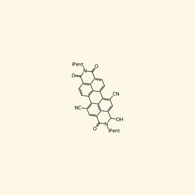 CCCC(C)N1C(=O)c2ccc3c4c(C#N)cc5c6c(cc(C#N)c(c7ccc(c2c37)C1=O)c64)C(O)N(C(C)CCC)C5=O